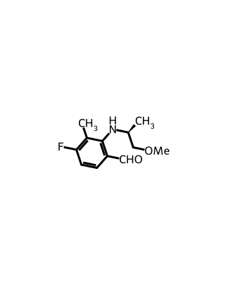 COC[C@H](C)Nc1c(C=O)ccc(F)c1C